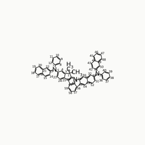 CC1(C)c2cc(N(c3ccccc3)c3ccc4ccccc4c3)ccc2-c2c1n1c3cc4cc(N(c5ccccc5)c5ccc6ccccc6c5)ccc4cc3c3cccc2c31